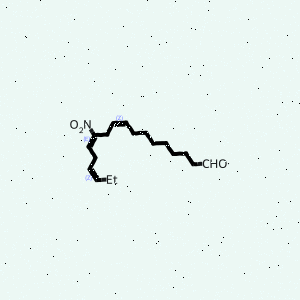 CC/C=C\C/C=C(\C/C=C\CCCCCCC[C]=O)[N+](=O)[O-]